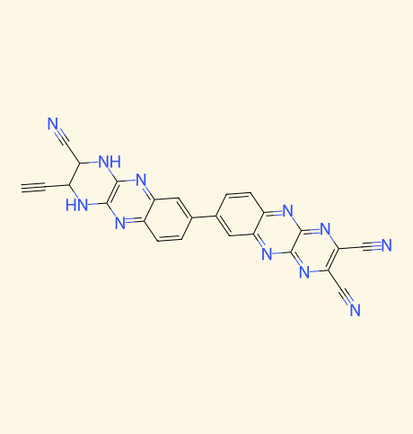 C#CC1Nc2nc3ccc(-c4ccc5nc6nc(C#N)c(C#N)nc6nc5c4)cc3nc2NC1C#N